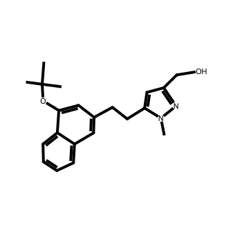 Cn1nc(CO)cc1CCc1cc(OC(C)(C)C)c2ccccc2c1